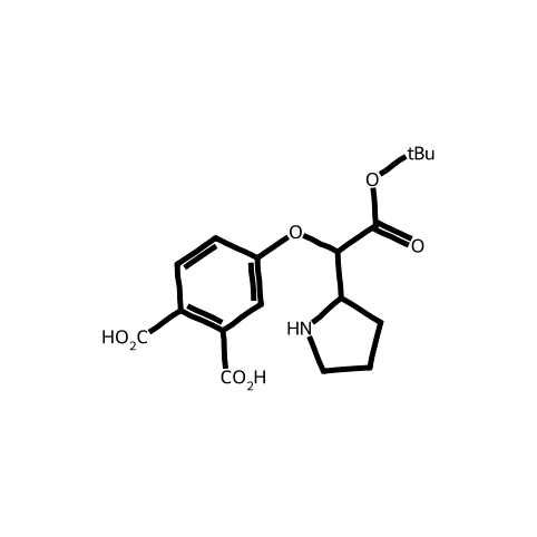 CC(C)(C)OC(=O)C(Oc1ccc(C(=O)O)c(C(=O)O)c1)C1CCCN1